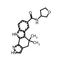 CC1(C)Cc2c[nH]nc2-c2[nH]c3ccc(C(=O)NC4CCOC4)cc3c21